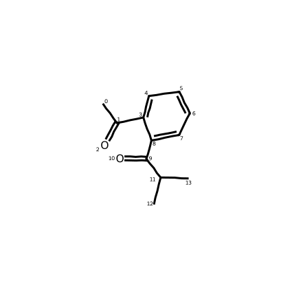 CC(=O)c1ccccc1C(=O)C(C)C